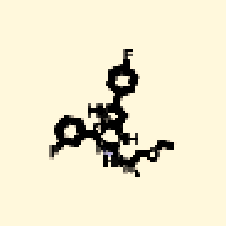 CCOC[C@H](C)N/C(=N/C(=O)c1cccc(F)c1)Nc1cc(-c2ccc(F)cc2)[nH]n1